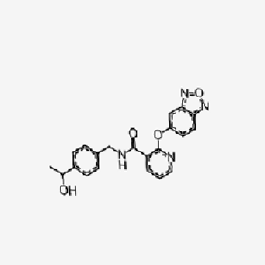 CC(O)c1ccc(CNC(=O)c2cccnc2Oc2ccc3nonc3c2)cc1